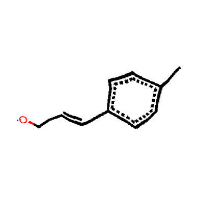 Cc1ccc(C=CC[O])cc1